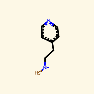 SNCCc1ccncc1